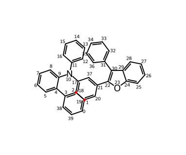 c1ccc(-c2ccccc2N(c2ccccc2)c2cccc(-c3oc4ccccc4c3-c3ccccc3)c2)cc1